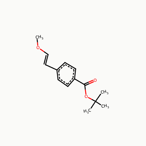 CO/C=C/c1ccc(C(=O)OC(C)(C)C)cc1